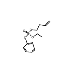 C=CCCOP(=O)(OCC)Oc1ccccc1